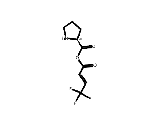 O=C(C=CC(F)(F)F)OC(=O)[C@@H]1CCCN1